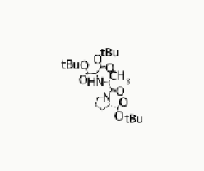 C[C@H](NC(C(=O)OC(C)(C)C)C(=O)OC(C)(C)C)C(=O)N1CCC[C@H]1C(=O)OC(C)(C)C